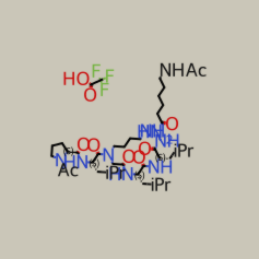 CC(=O)NCCCCCC(=O)NNC(=O)[C@H](CC(C)C)NC(=O)[C@H](CC(C)C)NC(=O)CN(CCCCN)C(=O)[C@H](CC(C)C)NC(=O)[C@@H]1CCCN1C(C)=O.O=C(O)C(F)(F)F